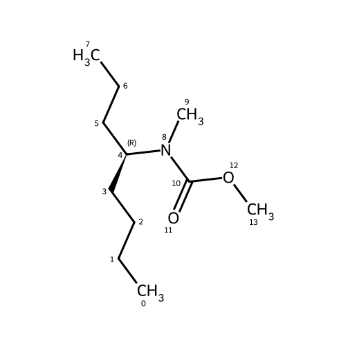 CCCC[C@@H](CCC)N(C)C(=O)OC